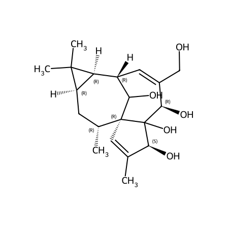 CC1=C[C@]23C(O)[C@@H](C=C(CO)[C@@H](O)C2(O)[C@H]1O)[C@H]1[C@@H](C[C@H]3C)C1(C)C